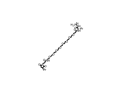 CC(=O)[C@H](C)NC(=O)[C@@H](NC(=O)CCOCCOCCOCCOCCOCCOCCOCCOCCNC(=O)CCN1C(=O)CC(C(C)C)C1=O)C(C)C